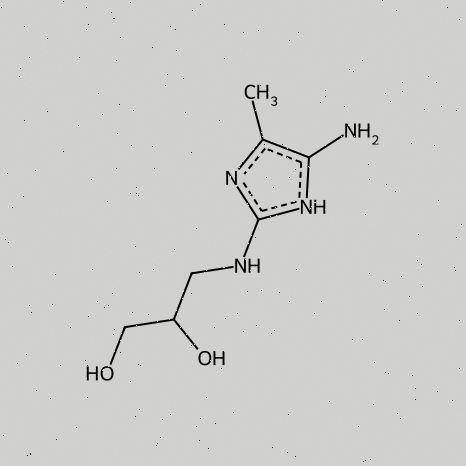 Cc1nc(NCC(O)CO)[nH]c1N